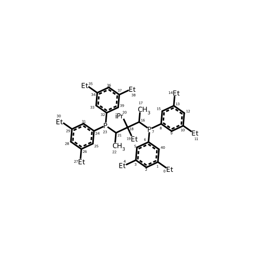 CCc1cc(CC)cc(P(c2cc(CC)cc(CC)c2)C(C)C(CC)(C(C)C)C(C)P(c2cc(CC)cc(CC)c2)c2cc(CC)cc(CC)c2)c1